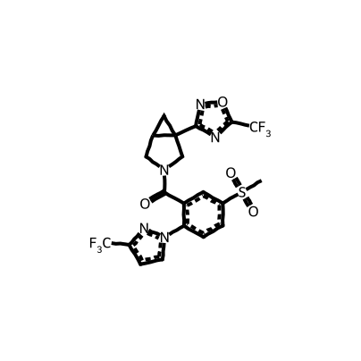 CS(=O)(=O)c1ccc(-n2ccc(C(F)(F)F)n2)c(C(=O)N2CC3CC3(c3noc(C(F)(F)F)n3)C2)c1